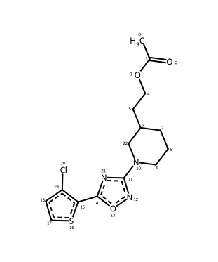 CC(=O)OCCC1CCCN(c2noc(-c3sccc3Cl)n2)C1